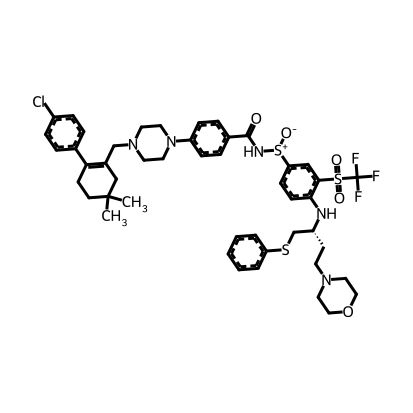 CC1(C)CCC(c2ccc(Cl)cc2)=C(CN2CCN(c3ccc(C(=O)N[S+]([O-])c4ccc(N[C@H](CCN5CCOCC5)CSc5ccccc5)c(S(=O)(=O)C(F)(F)F)c4)cc3)CC2)C1